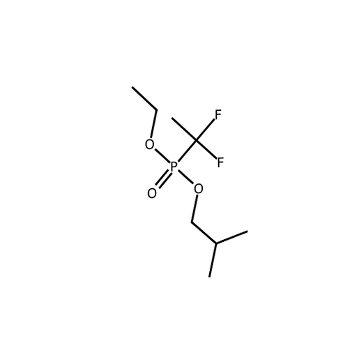 CCOP(=O)(OCC(C)C)C(C)(F)F